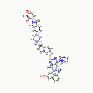 C#Cc1cccc2cc(O)cc(-c3ncc4c(N5CC6CCC(C5)N6)nc(OCC5(CN6CC7CC6CC7CN6CCN(c7ccc8c(c7)CN([C@H]7CCC(=O)NC7=O)C8=O)CC6)CC5)nc4c3F)c12